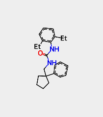 CCc1cccc(CC)c1NC(=O)NCC1(c2ccccc2)CCCC1